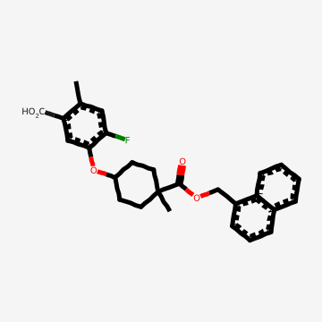 Cc1cc(F)c(OC2CCC(C)(C(=O)OCc3cccc4ccccc34)CC2)cc1C(=O)O